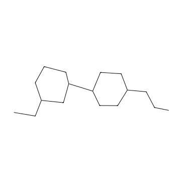 CCCC1CCC(C2CCCC(CC)C2)CC1